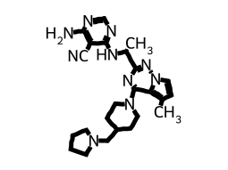 Cc1ccn2nc([C@H](C)Nc3ncnc(N)c3C#N)nc(N3CCC(CN4CCCC4)CC3)c12